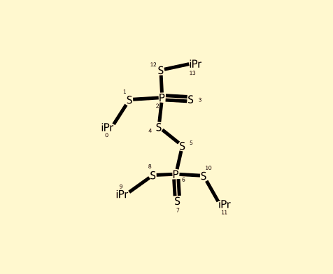 CC(C)SP(=S)(SSP(=S)(SC(C)C)SC(C)C)SC(C)C